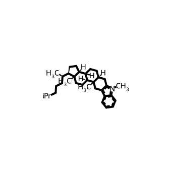 CC(C)CCC[C@@H](C)[C@H]1CC[C@H]2[C@@H]3CC[C@H]4Cc5c(c6ccccc6n5C)C[C@]4(C)[C@H]3CC[C@]12C